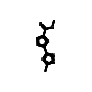 COC(=O)c1ccc(-c2nnc(C)o2)s1